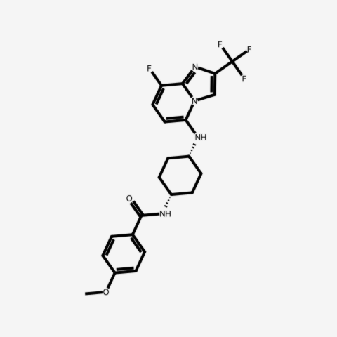 COc1ccc(C(=O)N[C@H]2CC[C@@H](Nc3ccc(F)c4nc(C(F)(F)F)cn34)CC2)cc1